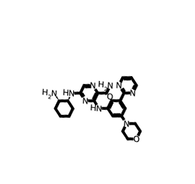 NC(=O)c1ncc(N[C@@H]2CCCC[C@@H]2N)nc1Nc1cc(-c2ncccn2)cc(N2CCOCC2)c1